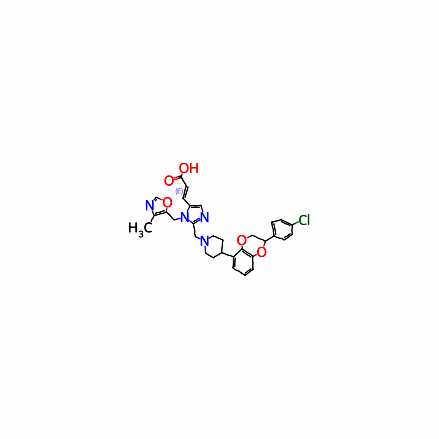 Cc1ncoc1Cn1c(/C=C/C(=O)O)cnc1CN1CCC(c2cccc3c2OCC(c2ccc(Cl)cc2)O3)CC1